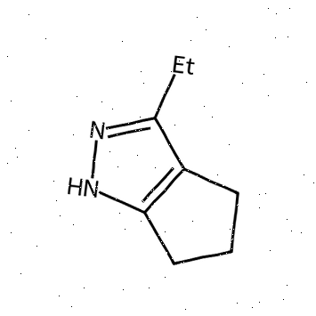 CCc1n[nH]c2c1CCC2